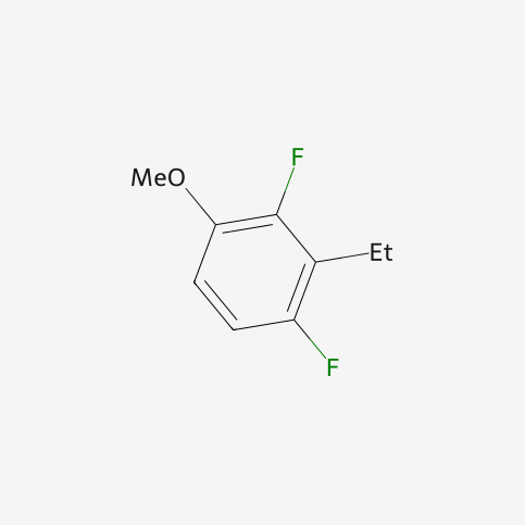 CCc1c(F)ccc(OC)c1F